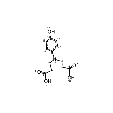 O=C(O)CCN(CCC(=O)O)c1ccc(O)cc1